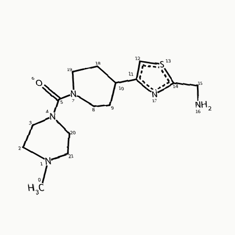 CN1CCN(C(=O)N2CCC(c3csc(CN)n3)CC2)CC1